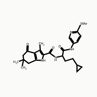 CSc1ccc(NC(=O)C(CCC2CC2)NC(=O)c2[nH]c3c(c2C)C(=O)CC(C)(C)C3)cn1